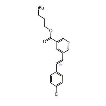 CCC(C)CCCOC(=O)c1cccc(/C=C/c2ccc(Cl)cc2)c1